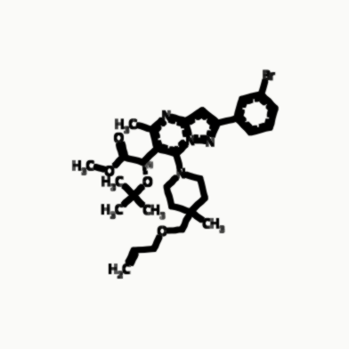 C=CCOCC1(C)CCN(c2c([C@H](OC(C)(C)C)C(=O)OC)c(C)nc3cc(-c4cccc(Br)c4)nn23)CC1